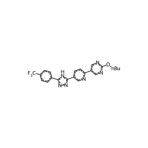 CCCCOc1ncc(-c2ccc(-c3nnc(-c4ccc(C(F)(F)F)cc4)[nH]3)cn2)cn1